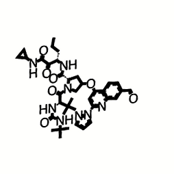 CCC[C@H](NC(=O)[C@@H]1CC(Oc2cc(-n3cccn3)nc3cc(C=O)ccc23)CN1C(=O)[C@@H](NC(=O)NC(C)(C)C)C(C)(C)C)C(=O)C(=O)NC1CC1